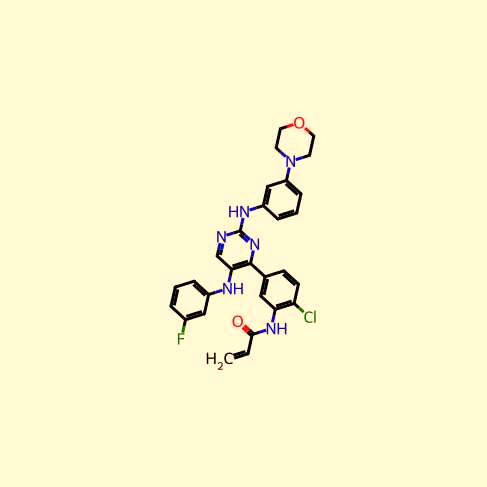 C=CC(=O)Nc1cc(-c2nc(Nc3cccc(N4CCOCC4)c3)ncc2Nc2cccc(F)c2)ccc1Cl